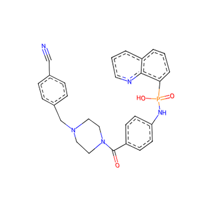 N#Cc1ccc(CN2CCN(C(=O)c3ccc(NP(=O)(O)c4cccc5cccnc45)cc3)CC2)cc1